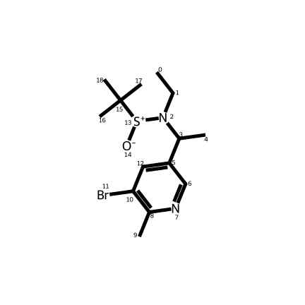 CCN(C(C)c1cnc(C)c(Br)c1)[S+]([O-])C(C)(C)C